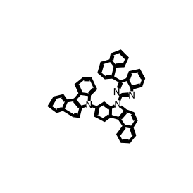 c1ccc2c(-c3nc(-n4c5cc(-n6c7ccccc7c7c8ccccc8ccc76)ccc5c5c6ccccc6ccc54)nc4ccccc34)cccc2c1